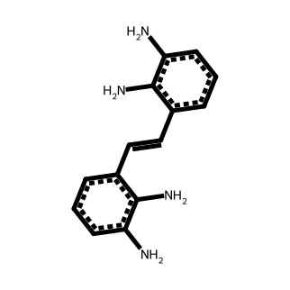 Nc1cccc(/C=C/c2cccc(N)c2N)c1N